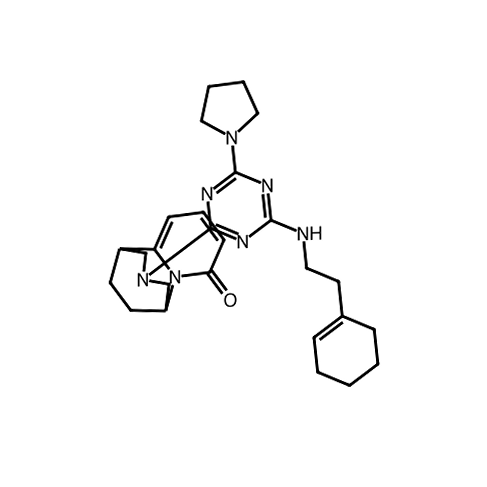 O=c1cccc2n1C1CCC2CN(c2nc(NCCC3=CCCCC3)nc(N3CCCC3)n2)C1